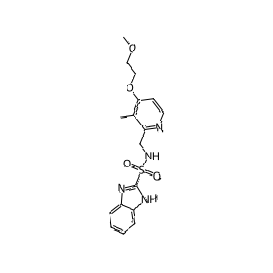 COCCOc1ccnc(CNS(=O)(=O)c2nc3ccccc3[nH]2)c1C